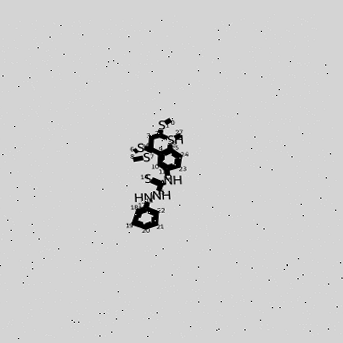 CSC1CC(SC)(SC)c2cc(NC(=S)NNc3ccccc3)ccc2[SH]1C